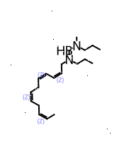 C/C=C\C/C=C\C/C=C\C=C/CN(BN(C)CCC)CCC